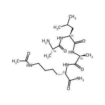 CC(=O)NCCCC[C@H](NC(=O)[C@H](C)NC(=O)[C@H](CC(C)C)NC(=O)[C@H](C)N)C(N)=O